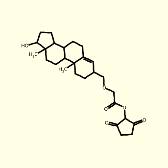 CC12CCC(COCC(=O)OC3C(=O)CCC3=O)C=C1CCC1C2CCC2(C)C(O)CCC12